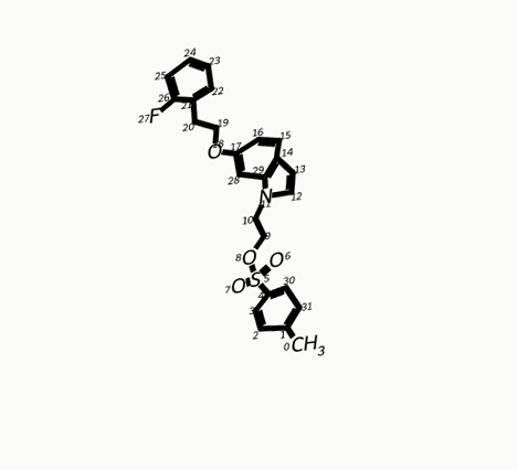 Cc1ccc(S(=O)(=O)OCCn2ccc3ccc(OCCc4ccccc4F)cc32)cc1